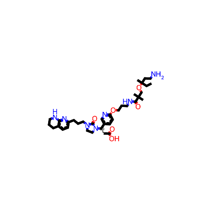 CCC(C)(CCN)OCC(C)(C)C(=O)NCCCOc1ccc([C@H](CC(=O)O)N2CCN(CCCc3ccc4c(n3)NCCC4)C2=O)cn1